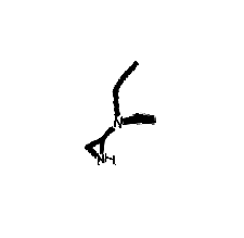 CCN(C)C1CN1